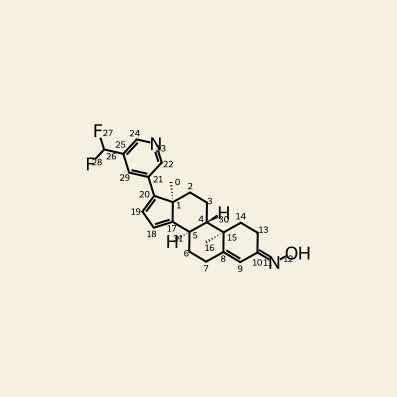 C[C@]12CC[C@H]3[C@@H](CCC4=C/C(=N/O)CC[C@@]43C)C1=CC=C2c1cncc(C(F)F)c1